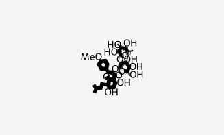 COc1ccc(-c2oc3c(CC=C(C)C)c(O)cc(O)c3c(=O)c2O[C@@H]2O[C@@H](CO)[C@H](O)[C@@H](O)[C@H]2O[C@@H]2O[C@H](C)[C@@H](O)[C@H](O)[C@H]2O)cc1